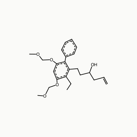 C=CCC(O)CCc1c(CC)c(OCOC)cc(OCOC)c1-c1ccccc1